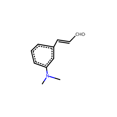 CN(C)c1cccc(C=C[C]=O)c1